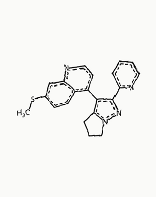 CSc1ccc2c(-c3c(-c4ccccn4)nn4c3CCC4)ccnc2c1